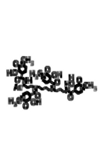 CC(=O)C(CCN(CCCCN(CCCNC(=O)c1ccn(C)c(=O)c1O)C(=O)c1ccn(C)c(=O)c1O)C(=O)c1ccn(C)c(=O)c1O)NC(=O)c1ccn(C)c(=O)c1O